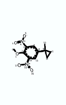 COc1c([N+](=O)[O-])cc(C2(C)CC2)cc1[N+](=O)[O-]